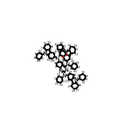 c1ccc(N(c2ccc3nc(N(c4ccccc4)c4ccc5c(c4)c4ccccc4n5-c4ccccc4)nc(N(c4ccccc4)c4ccc5c(c4)c4ccccc4n5-c4ccccc4)c3c2)c2ccc3c(c2)c2ccccc2n3-c2ccccc2)cc1